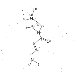 CN(C)C/C=C/C(=O)N1CC2C1CCN2I